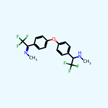 C/N=C(\c1ccc(Oc2ccc(C(NC)C(F)(F)F)cc2)cc1)C(F)(F)F